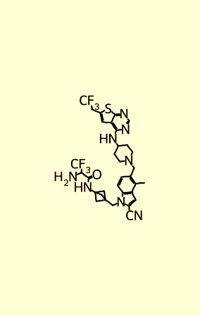 Cc1c(CN2CCC(Nc3ncnc4sc(CC(F)(F)F)cc34)CC2)ccc2c1cc(C#N)n2CC12CC(NC(=O)C(N)C(F)(F)F)(C1)C2